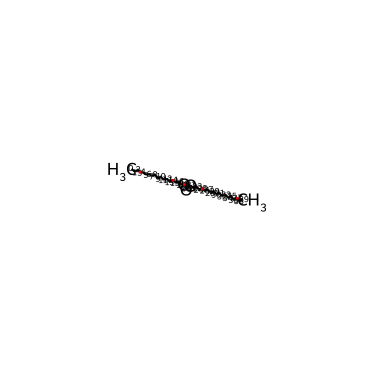 CCCCCCCCCCCCCCCC/C=C/OC(=O)O/C=C/CCCCCCCCCCCCCCCC